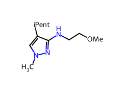 CCCC(C)c1cn(C)nc1NCCOC